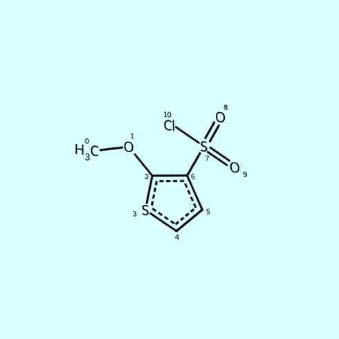 COc1sccc1S(=O)(=O)Cl